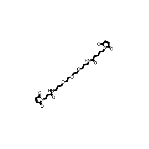 O=C(CCCCN1C(=O)C=CC1=O)NCCCOCCOCCOCCCNC(=O)CCN1C(=O)C=CC1=O